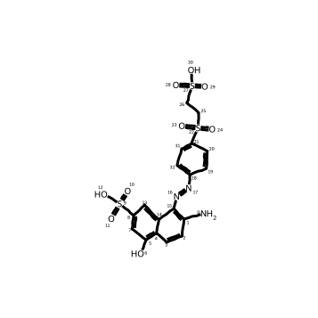 Nc1ccc2c(O)cc(S(=O)(=O)O)cc2c1N=Nc1ccc(S(=O)(=O)CCS(=O)(=O)O)cc1